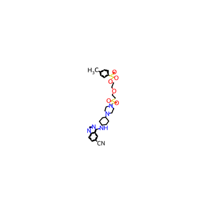 Cc1ccc(S(=O)(=O)OCCOCCS(=O)(=O)N2CCN(C3CCC(Nc4ncnc5ccc(C#N)cc45)CC3)CC2)cc1